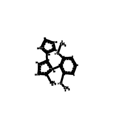 COc1cccc(OC)c1-n1c(N)nnc1-c1cnco1